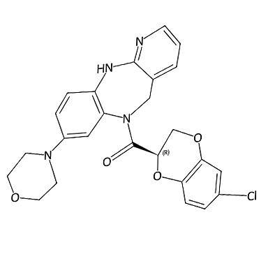 O=C([C@H]1COc2cc(Cl)ccc2O1)N1Cc2cccnc2Nc2ccc(N3CCOCC3)cc21